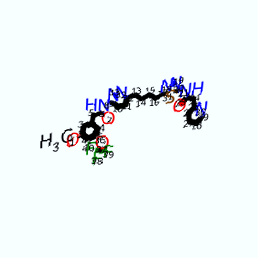 COc1cc(CC(=O)Nc2ccc(CCCCc3nnc(NC(=O)Cc4ccccn4)s3)nn2)cc(OC(F)(F)F)c1